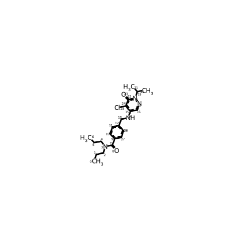 CCCN(CCC)C(=O)c1ccc(CNc2cnn(C(C)C)c(=O)c2Cl)cc1